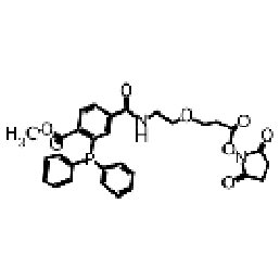 COC(=O)c1ccc(C(=O)NCCOCCC(=O)ON2C(=O)CCC2=O)cc1P(c1ccccc1)c1ccccc1